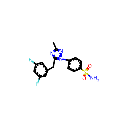 Cc1nc(Cc2cc(F)cc(F)c2)n(-c2ccc(S(N)(=O)=O)cc2)n1